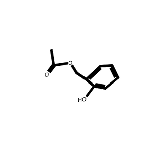 CC(=O)OCc1ccccc1O